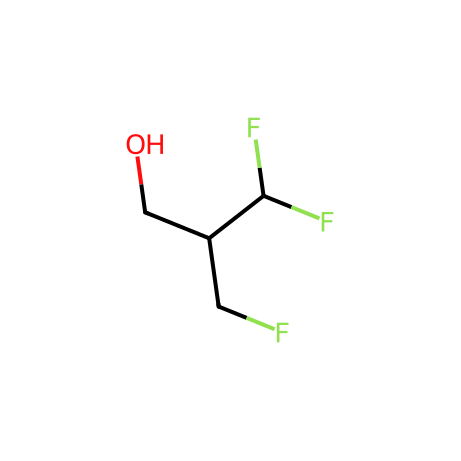 OCC(CF)C(F)F